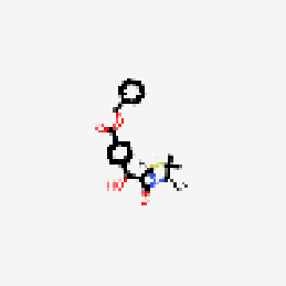 CC1(C)S[C@@H]2C(C(O)c3ccc(C(=O)OCc4ccccc4)cc3)C(=O)N2[C@H]1C#N